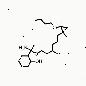 CCCCOC1(C)CC1(C)CCCC(C)CCOC(C)(N)C1CCCCC1O